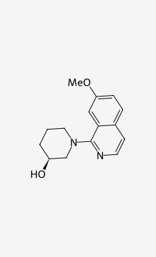 COc1ccc2ccnc(N3CCC[C@H](O)C3)c2c1